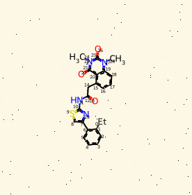 CCc1ccccc1-c1csc(NC(=O)Cc2cccc3c2c(=O)n(C)c(=O)n3C)n1